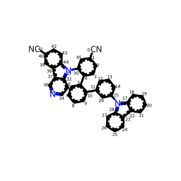 N#Cc1ccc(-c2ccccc2-c2cccc(-n3c4ccccc4c4ccccc43)c2)c(-n2c3ccncc3c3cc(C#N)ccc32)c1